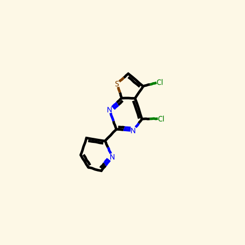 Clc1csc2nc(-c3ccccn3)nc(Cl)c12